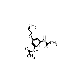 C=CCOc1cc(NC(C)=O)nc(NC(C)=O)c1